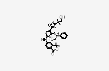 CC(C)(CO)c1noc(-c2cnc(Nc3ccc4c(c3)C(C)(C)OC4=O)nc2N[C@H](CO)c2ccccc2)n1